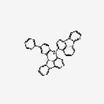 CC12c3ccccc3-c3cccc(c31)N(c1ccc3c4c(cccc14)-c1ccccc1-3)c1ccc(-c3ccccc3)cc12